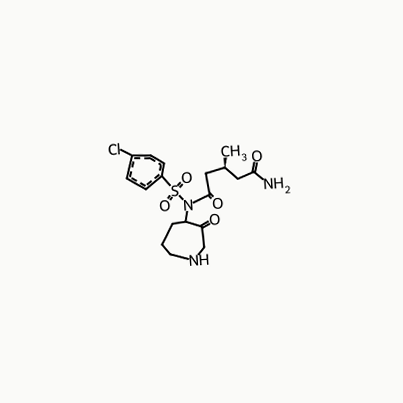 C[C@@H](CC(N)=O)CC(=O)N(C1CCCNCC1=O)S(=O)(=O)c1ccc(Cl)cc1